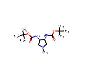 CN1C[C@@H](NC(=O)OC(C)(C)C)[C@H](NC(=O)OC(C)(C)C)C1